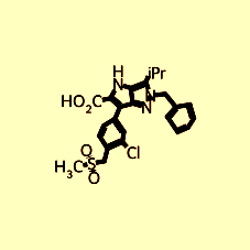 CC(C)c1c2[nH]c(C(=O)O)c(-c3ccc(CS(C)(=O)=O)c(Cl)c3)c2nn1Cc1ccccc1